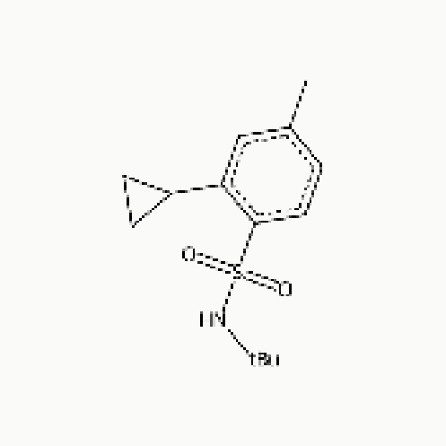 Cc1ccc(S(=O)(=O)NC(C)(C)C)c(C2CC2)c1